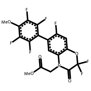 COC(=O)CN1C(=O)C(F)(F)Oc2cc(F)c(-c3c(F)c(F)c(OC)c(F)c3F)cc21